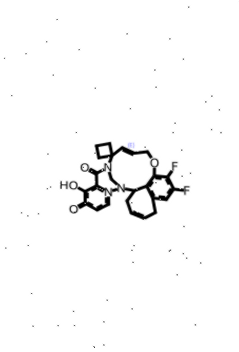 O=C1c2c(O)c(=O)ccn2N2CN1C1(/C=C/COc3c(F)c(F)cc4c3C2CC=CC4)CCC1